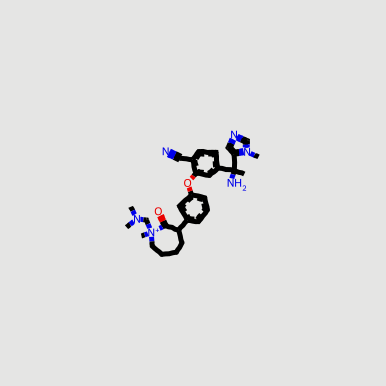 CN(C)C[N+]1(C)CCCCC(c2cccc(Oc3cc(C(C)(N)c4cncn4C)ccc3C#N)c2)C1=O